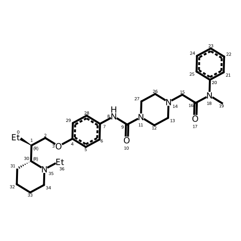 CC[C@@H](COc1ccc(NC(=O)N2CCN(CC(=O)N(C)c3ccccc3)CC2)cc1)[C@H]1CCCCN1CC